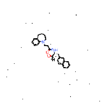 [2H]C(=O)[C@@H](Cc1ccc2ccccc2c1)NC(=O)CCN1CCCCc2ccccc21